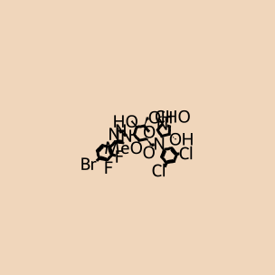 CO[C@@H]1[C@@H](n2cc(-c3ccc(Br)c(F)c3F)nn2)[C@@H](O)[C@@H](CO)O[C@H]1C(=O)N(c1cc(Cl)cc(Cl)c1)[C@H]1CN(C=O)C[C@@H]1O